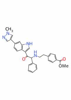 COC(=O)c1ccc(CCNC(C(=O)c2c[nH]c3cc(-c4cnn(C)c4)ccc23)c2ccccc2)cc1